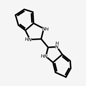 c1ccc2c(c1)NC(C1Nc3ccccc3N1)N2